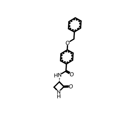 O=C(N[C@H]1CNC1=O)c1ccc(OCc2ccccc2)cc1